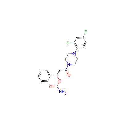 NC(=O)O[C@H](CC(=O)N1CCN(c2ccc(F)cc2F)CC1)c1ccccc1